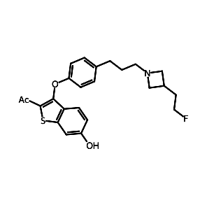 CC(=O)c1sc2cc(O)ccc2c1Oc1ccc(CCCN2CC(CCF)C2)cc1